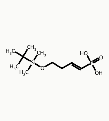 CC(C)(C)[Si](C)(C)OCCC=CP(=O)(O)O